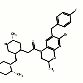 CC1CN(C(=O)CN2C[C@@H](C)NC[C@@H]2CN2CCOC[C@H]2C)c2cc(Cc3ccc(F)cc3)c(Br)nc2O1